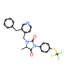 CC1C(=O)N(c2ccc(SC(F)(F)F)cc2)C(=O)N1Cc1ccncc1Cc1ccccc1